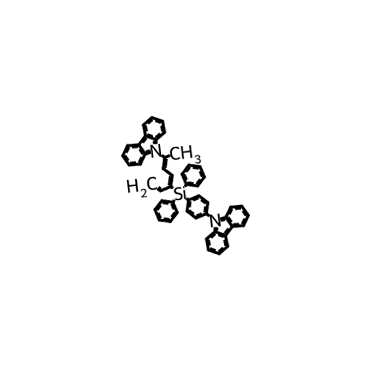 C=C/C(=C\C=C(/C)n1c2ccccc2c2ccccc21)[Si](c1ccccc1)(c1ccccc1)c1ccc(-n2c3ccccc3c3ccccc32)cc1